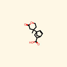 CC1(C23C=CC(C2)C(C(=O)O)C3)CCOC(=O)C1